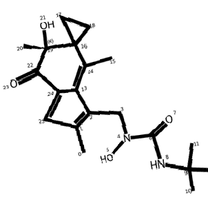 CC1=C(CN(O)C(=O)NC(C)(C)C)C2=C(C)C3(CC3)[C@@](C)(O)C(=O)C2=C1